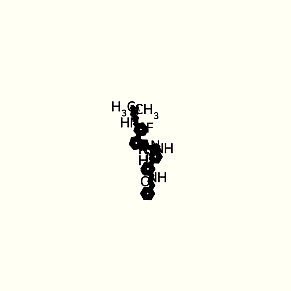 CN(C)CCNc1cc(F)cc(-c2cccc3[nH]c(-c4n[nH]c5ccc(-c6cc#cc(NC(=O)Cc7ccccc7)c6)nc45)cc23)c1